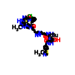 Cc1nc(Nc2ncc(C(=O)Nc3c(C)cccc3Cl)s2)cc(N2CCN(C(=O)CCCc3cn(CCCC(=O)NC(C(=O)N4C[C@H](O)C[C@H]4C(=O)NCc4ccc(-c5scnc5C)cc4)C(C)(C)C)nn3)CC2)n1